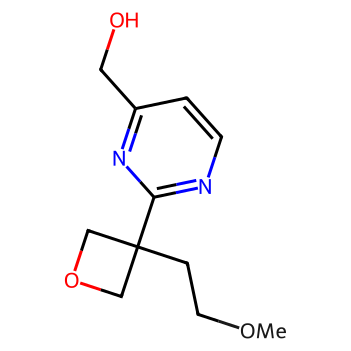 COCCC1(c2nccc(CO)n2)COC1